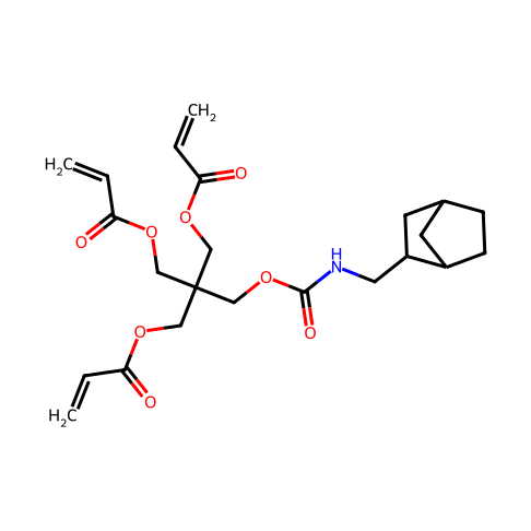 C=CC(=O)OCC(COC(=O)C=C)(COC(=O)C=C)COC(=O)NCC1CC2CCC1C2